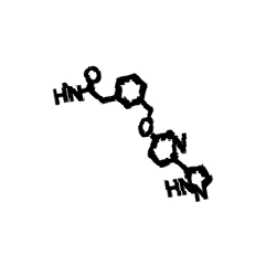 CNC(=O)Cc1cccc(COc2ccc(-c3ccn[nH]3)nc2)c1